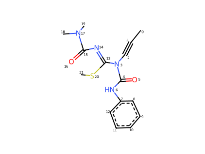 CC#CN(C(=O)Nc1ccccc1)C(=NC(=O)N(C)C)SC